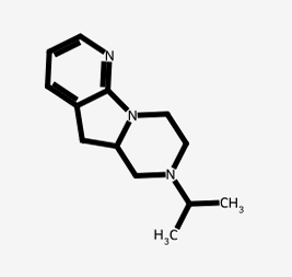 CC(C)N1CCN2c3ncccc3CC2C1